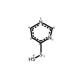 SSc1ccncn1